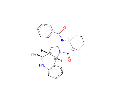 CCC[C@@H]1Nc2ccccc2[C@@H]2[C@H]1CCN2C(=O)[C@H]1CCCC[C@H]1NC(=O)c1ccccc1